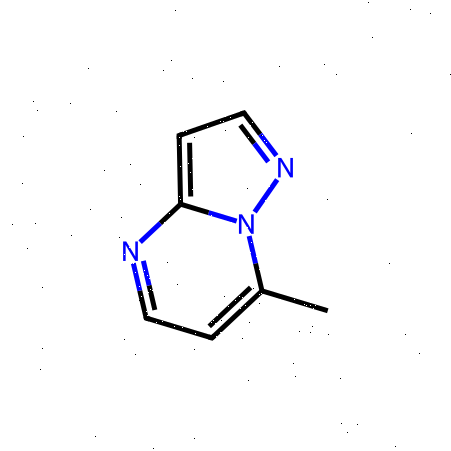 Cc1ccnc2ccnn12